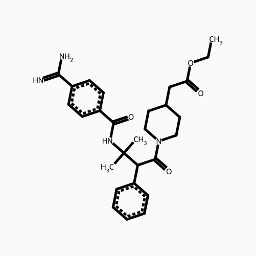 CCOC(=O)CC1CCN(C(=O)C(c2ccccc2)C(C)(C)NC(=O)c2ccc(C(=N)N)cc2)CC1